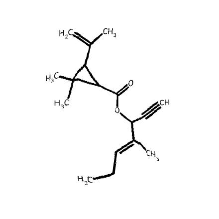 C#CC(OC(=O)C1C(C(=C)C)C1(C)C)C(C)=CCC